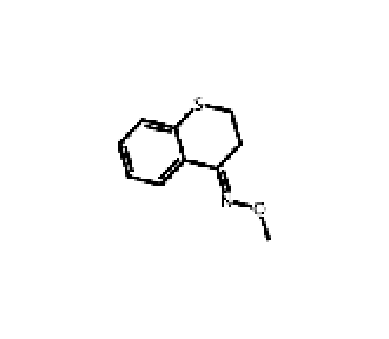 CON=C1CCSc2ccccc21